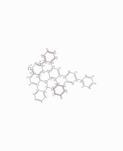 Clc1ccc(-c2ccccc2C(Oc2c(-c3ccccc3)c(-c3ccc(-c4ccccc4)cc3)[c]c(-c3ccccc3Cl)c2-c2ccccc2-c2ccccc2)c2ccccc2)cc1